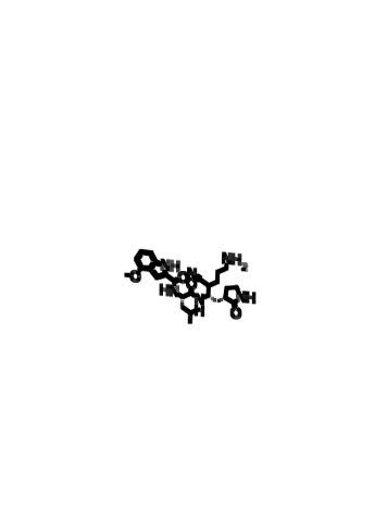 COc1cccc2[nH]c(C(=O)N[C@@H](CC(C)C)C(=O)N[C@@H](C[C@@H]3CCNC3=O)C(C#N)CCCN)cc12